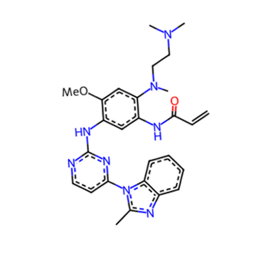 C=CC(=O)Nc1cc(Nc2nccc(-n3c(C)nc4ccccc43)n2)c(OC)cc1N(C)CCN(C)C